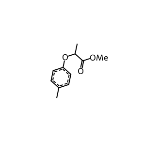 COC(=O)C(C)Oc1ccc(C)cc1